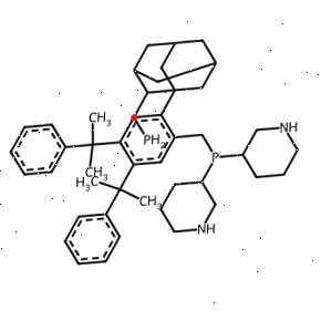 CC(C)(c1ccccc1)c1cc(CP(C2CCCNC2)C2CCCNC2)c(C23CC4CC(CC(C4)C2CP)C3)cc1C(C)(C)c1ccccc1